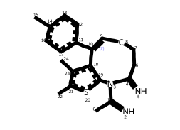 CC(=N)N1C(=N)CCC/C=C(/c2ccc(C)cc2)c2c1sc(C)c2C